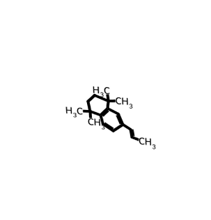 CC=Cc1ccc2c(c1)C(C)(C)CCC2(C)C